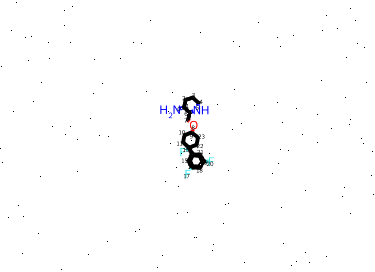 NC1CCCNC1COC1CCC(F)(c2cc(F)cc(F)c2)CC1